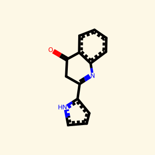 O=C1CC(c2ccc[nH]2)=Nc2ccccc21